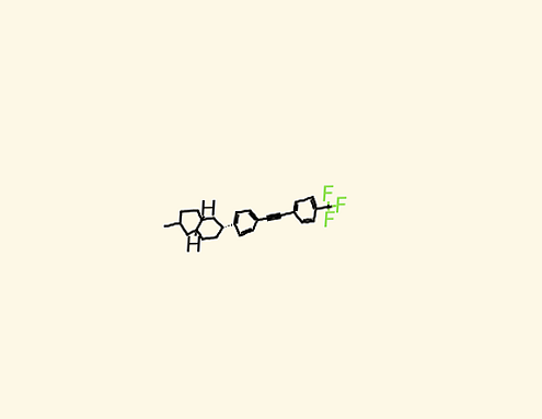 CC1CC[C@@H]2C[C@H](c3ccc(C#Cc4ccc(C(F)(F)F)cc4)cc3)CC[C@@H]2C1